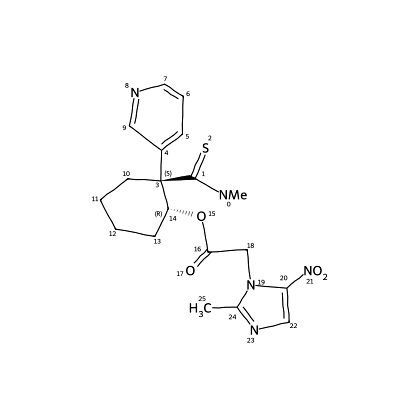 CNC(=S)[C@]1(c2cccnc2)CCCC[C@H]1OC(=O)Cn1c([N+](=O)[O-])cnc1C